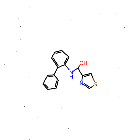 OC(Nc1ccccc1-c1ccccc1)c1cscn1